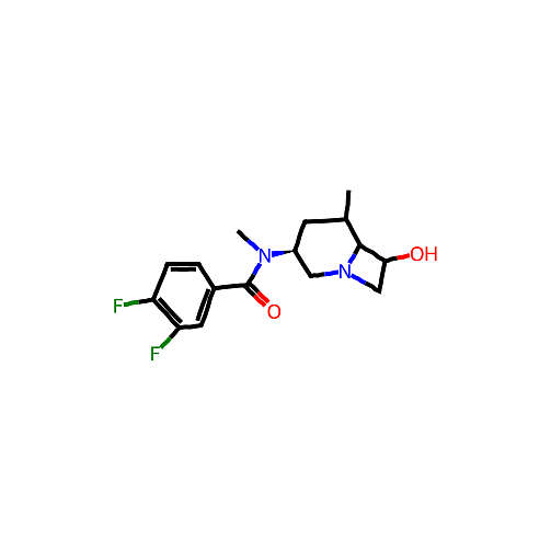 CC1C[C@H](N(C)C(=O)c2ccc(F)c(F)c2)CN2CC(O)C12